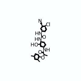 Cc1ccc(OC(C)C(=O)Nc2ccc(NC(=O)Nc3ccc(Cl)c(C#N)c3)c(O)c2)c(C)c1